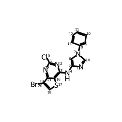 Clc1nc(Nc2cn(-c3ccccc3)cn2)c2scc(Br)c2n1